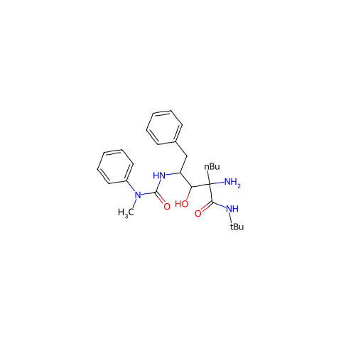 CCCCC(N)(C(=O)NC(C)(C)C)C(O)C(Cc1ccccc1)NC(=O)N(C)c1ccccc1